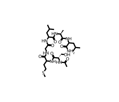 CSCCC(NC(=O)[C@H](CO)NC(C)=O)C(=O)NCC(=O)NC(CC(C)C)C(=O)N[C@@H](C)C(=O)NC(CC(C)C)C(N)=O